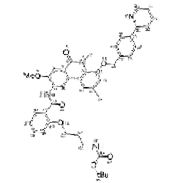 COc1cc(C(=O)N(C)c2ccc(C)cc2OCc2ccc(-c3ccccn3)cc2)ccc1NC(=O)c1ccccc1OCCCNC(=O)OC(C)(C)C